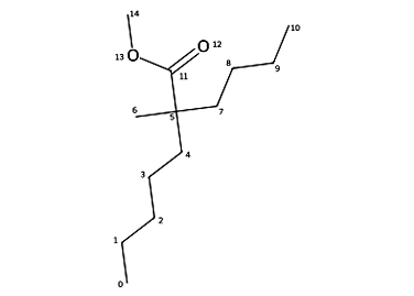 CCCCCC(C)(CCCC)C(=O)OC